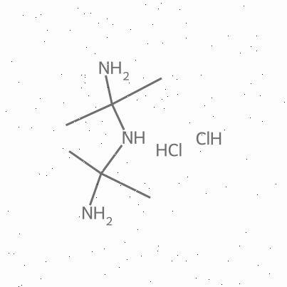 CC(C)(N)NC(C)(C)N.Cl.Cl